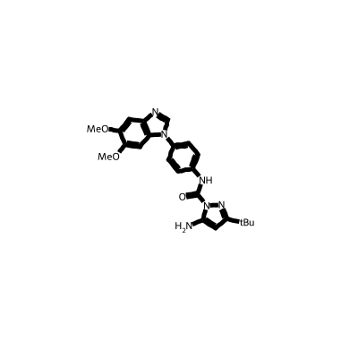 COc1cc2ncn(-c3ccc(NC(=O)n4nc(C(C)(C)C)cc4N)cc3)c2cc1OC